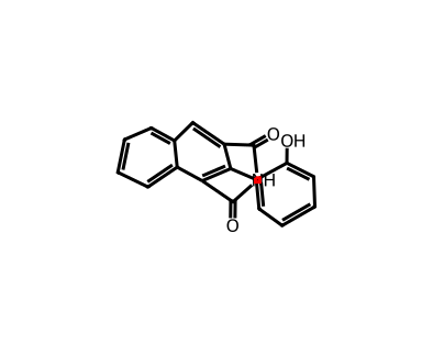 O=C1NC(=O)c2c(-c3ccccc3O)c1cc1ccccc21